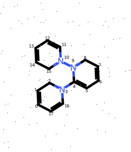 C1=CCN(C2=CC=CCN2N2C=CC=CC2)C=C1